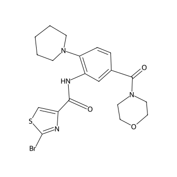 O=C(Nc1cc(C(=O)N2CCOCC2)ccc1N1CCCCC1)c1csc(Br)n1